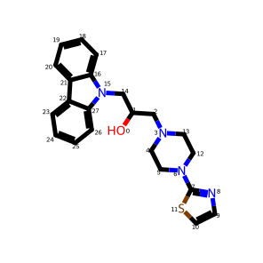 OC(CN1CCN(c2nccs2)CC1)Cn1c2ccccc2c2ccccc21